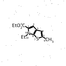 CCOC(=O)c1cc2cc(C)sc2n1CC